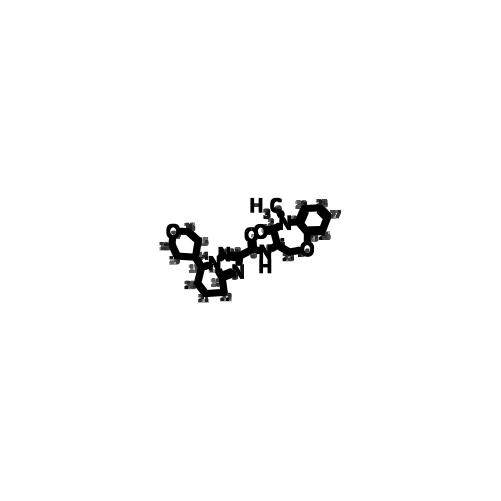 CN1C(=O)C(NC(=O)c2nc3n(n2)C(C2CCOCC2)CCC3)COc2ccccc21